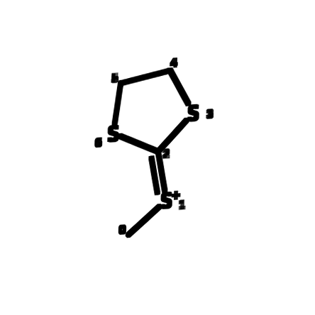 C[S+]=C1SCCS1